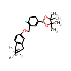 CC(=O)[C@H]1[C@@H]2Cc3cc(OCc4cc(B5OC(C)(C)C(C)(C)O5)ccc4F)ccc3[C@@H]21